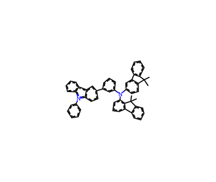 CC1(C)c2ccccc2-c2cc(N(c3cccc(-c4ccc5c(c4)c4ccccc4n5-c4ccccc4)c3)c3cccc4c3C(C)(C)c3ccccc3-4)ccc21